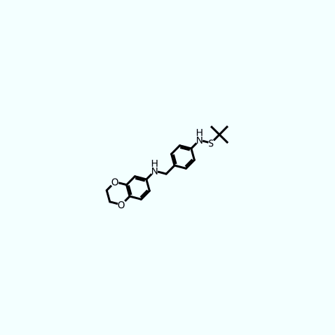 CC(C)(C)SNc1ccc(CNc2ccc3c(c2)OCCO3)cc1